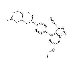 CCOc1cc(-c2ccc(N(CC)CC3CCCN(C)C3)nc2)c2c(C#N)cnn2c1